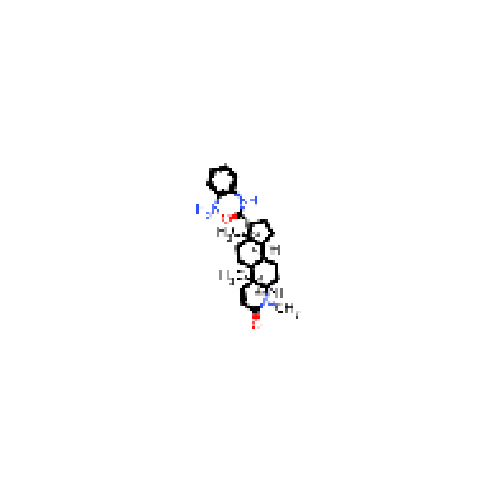 CN1C(=O)C=C[C@]2(C)C3CC[C@]4(C)[C@@H](C(=O)Nc5ccccc5N)CC[C@H]4C3CC[C@@H]12